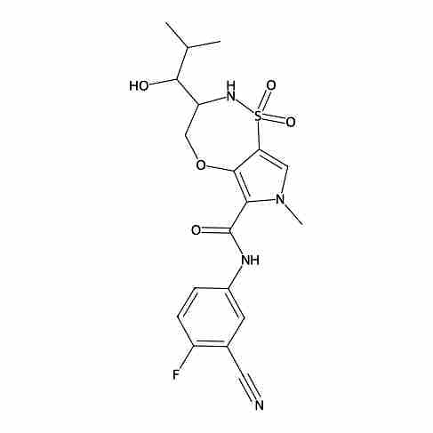 CC(C)C(O)C1COc2c(cn(C)c2C(=O)Nc2ccc(F)c(C#N)c2)S(=O)(=O)N1